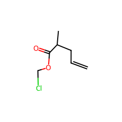 C=CCC(C)C(=O)OCCl